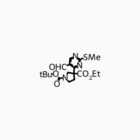 CCOC(=O)C1(c2nc(SC)ncc2C=O)CCN(C(=O)OC(C)(C)C)C1